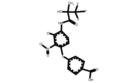 CC(O)(C(=O)Nc1ccc(Sc2ccc(C(=O)O)cc2)c([N+](=O)[O-])c1Cl)C(F)(F)F